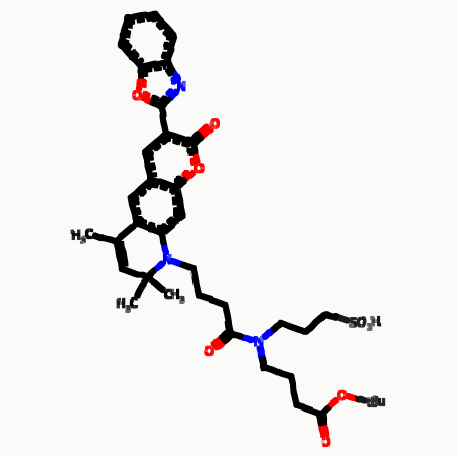 CC1=CC(C)(C)N(CCCC(=O)N(CCCC(=O)OC(C)(C)C)CCCS(=O)(=O)O)c2cc3oc(=O)c(-c4nc5ccccc5o4)cc3cc21